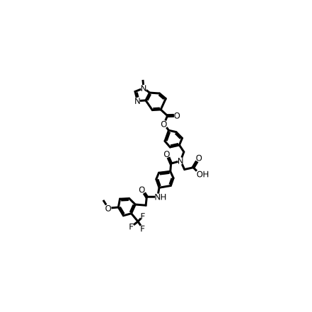 COc1ccc(CC(=O)Nc2ccc(C(=O)N(CC(=O)O)Cc3ccc(OC(=O)c4ccc5c(c4)ncn5C)cc3)cc2)c(C(F)(F)F)c1